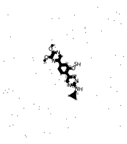 COc1ncc(-c2ccc(-c3cnc(NC4CC4)nn3)c(OS)c2)nc1OC